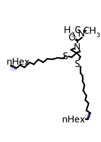 CCCCCC/C=C\CCCCCCCCCCSCC1(CSCCCCCCCCCC/C=C\CCCCCC)CN(C(=O)CN(C)C)C1